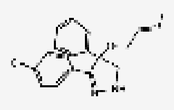 C/C=C/COC1(c2ccccc2)CNN=C1c1ccc(Cl)cc1